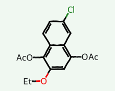 CCOc1cc(OC(C)=O)c2cc(Cl)ccc2c1OC(C)=O